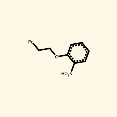 CC(C)CCOc1ccccc1S(=O)(=O)O